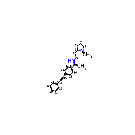 C=C(NCCC1CCCN1C)c1ccc(C#Cc2ccccc2)cc1